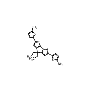 CCC1(CC)c2cc(-c3ccc(C)s3)sc2-c2sc(-c3ccc(N)s3)cc21